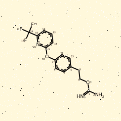 N=C(N)OCCc1ccc(Oc2cccc(C(F)(F)F)n2)cc1